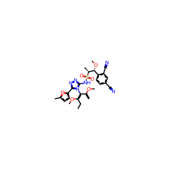 C=C(OC)/C(=C(\CC)OC)n1c(NS(=O)(=O)[C@@H](C)[C@H](OC)c2ccc(C#N)cc2C#N)nnc1-c1ccc(C)o1